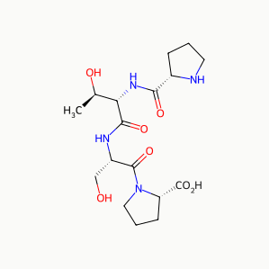 C[C@@H](O)[C@H](NC(=O)[C@@H]1CCCN1)C(=O)N[C@@H](CO)C(=O)N1CCC[C@H]1C(=O)O